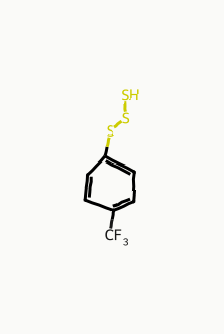 FC(F)(F)c1ccc(SSS)cc1